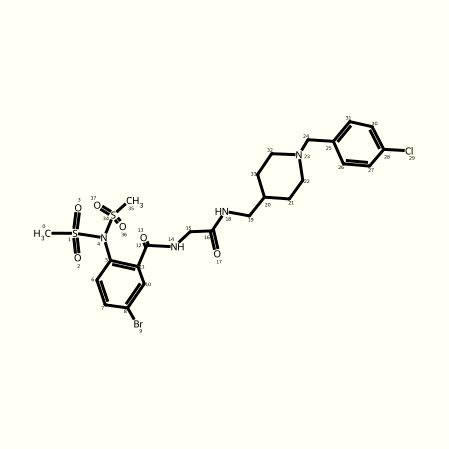 CS(=O)(=O)N(c1ccc(Br)cc1C(=O)NCC(=O)NCC1CCN(Cc2ccc(Cl)cc2)CC1)S(C)(=O)=O